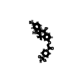 CC1(C)c2cc(OCC(=O)N3CCN(S(C)(=O)=O)CC3)ccc2C(=O)c2c1[nH]c1cc(Br)ccc21